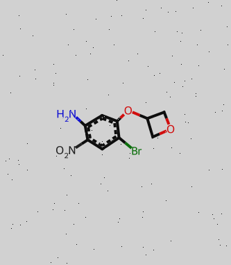 Nc1cc(OC2COC2)c(Br)cc1[N+](=O)[O-]